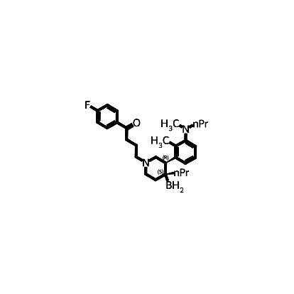 B[C@]1(CCC)CCN(CCCC(=O)c2ccc(F)cc2)C[C@H]1c1cccc(N(C)CCC)c1C